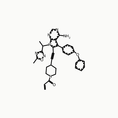 C=CC(=O)N1CCC(C#Cc2c(-c3ccc(Oc4ccccc4)cc3)c3c(N)ncnc3n2C(C)c2noc(C)n2)CC1